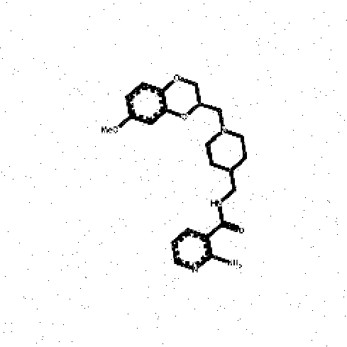 COc1ccc2c(c1)OC(CN1CCC(CNC(=O)c3cccnc3N)CC1)CO2